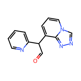 O=CC(c1ccccn1)c1cccn2cnnc12